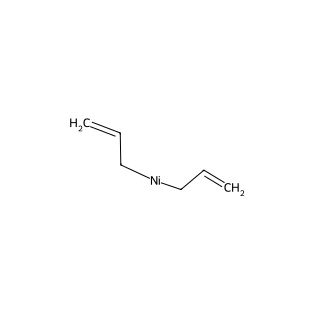 C=C[CH2][Ni][CH2]C=C